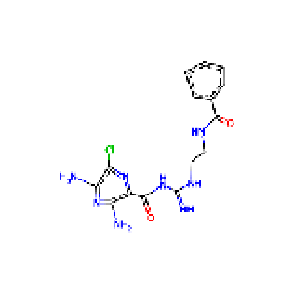 N=C(NCCNC(=O)c1ccccc1)NC(=O)c1nc(Cl)c(N)nc1N